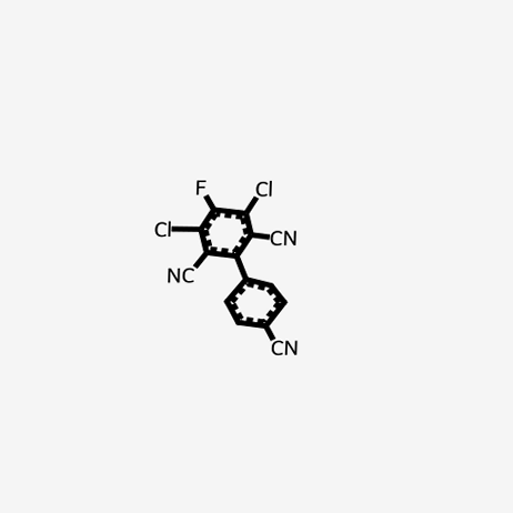 N#Cc1ccc(-c2c(C#N)c(Cl)c(F)c(Cl)c2C#N)cc1